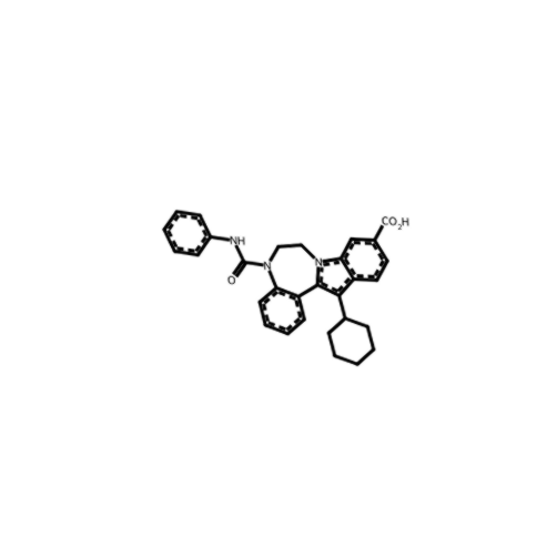 O=C(O)c1ccc2c(C3CCCCC3)c3n(c2c1)CCN(C(=O)Nc1ccccc1)c1ccccc1-3